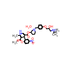 COC(=O)C1=C(C)NC=C(C(=O)OC2CCCN(Cc3ccc(OCC(O)CNC(C)C)cc3)C2)C1c1cccc([N+](=O)[O-])c1.O